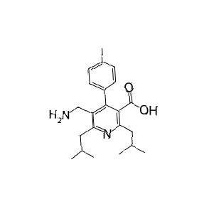 Cc1ccc(-c2c(CN)c(CC(C)C)nc(CC(C)C)c2C(=O)O)cc1